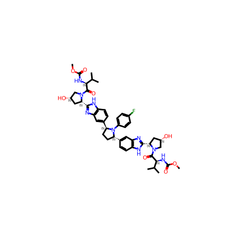 COC(=O)N[C@H](C(=O)N1C[C@@H](O)C[C@H]1c1nc2cc([C@@H]3CC[C@@H](c4ccc5[nH]c([C@@H]6C[C@H](O)CN6C(=O)[C@@H](NC(=O)OC)C(C)C)nc5c4)N3c3ccc(F)cc3)ccc2[nH]1)C(C)C